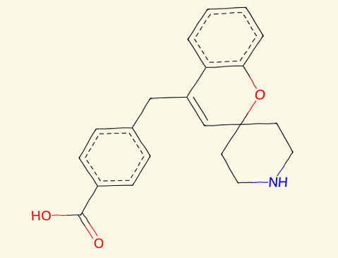 O=C(O)c1ccc(CC2=CC3(CCNCC3)Oc3ccccc32)cc1